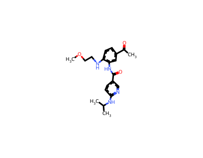 COCCNc1ccc(C(C)=O)cc1NC(=O)c1ccc(NC(C)C)nc1